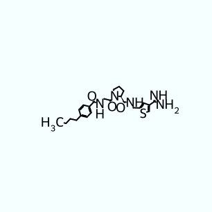 CCCCc1ccc(C(=O)NCC(=O)N2CCC[C@H]2C(=O)NCc2cc(C(=N)N)cs2)cc1